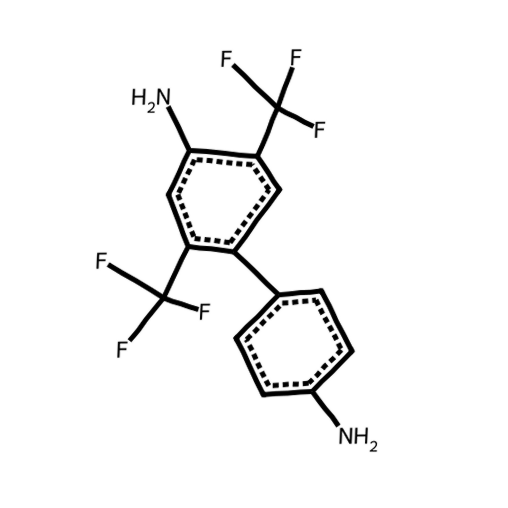 Nc1ccc(-c2cc(C(F)(F)F)c(N)cc2C(F)(F)F)cc1